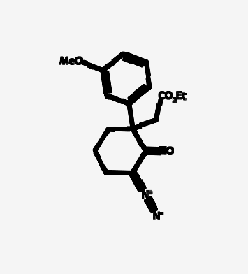 CCOC(=O)CC1(c2cccc(OC)c2)CCCC(=[N+]=[N-])C1=O